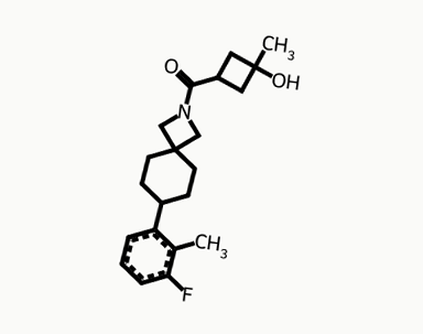 Cc1c(F)cccc1C1CCC2(CC1)CN(C(=O)C1CC(C)(O)C1)C2